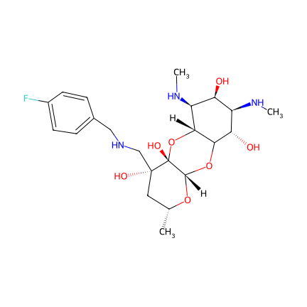 CN[C@@H]1[C@H](O)[C@H](NC)[C@H]2O[C@]3(O)[C@H](OC2[C@H]1O)O[C@H](C)C[C@@]3(O)CNCc1ccc(F)cc1